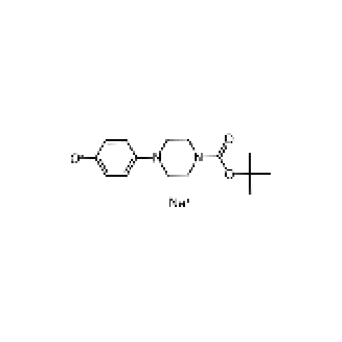 CC(C)(C)OC(=O)N1CCN(c2ccc([O-])cc2)CC1.[Na+]